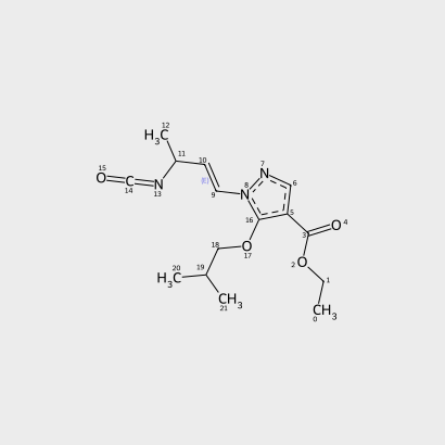 CCOC(=O)c1cnn(/C=C/C(C)N=C=O)c1OCC(C)C